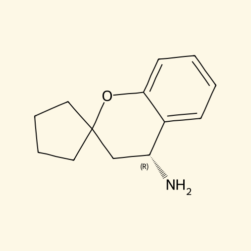 N[C@@H]1CC2(CCCC2)Oc2ccccc21